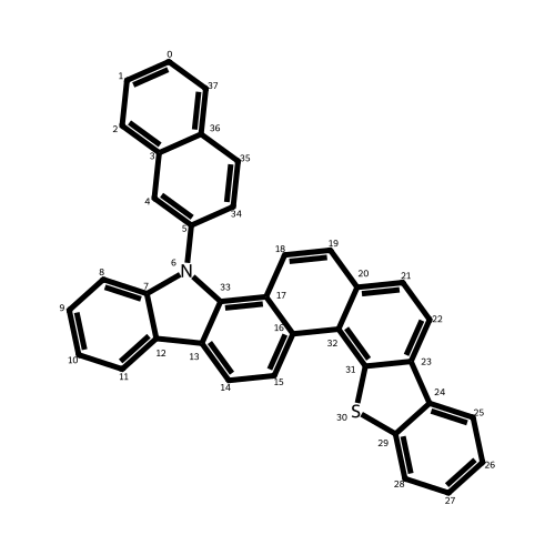 c1ccc2cc(-n3c4ccccc4c4ccc5c(ccc6ccc7c8ccccc8sc7c65)c43)ccc2c1